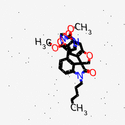 CCCCCN1C(=O)C2(COc3cc4c(cc32)OCO4)c2c(-c3cnc(OC)nc3OC)cccc21